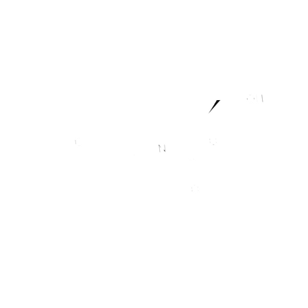 O=C1O[C@H](CO)CN1CCCl